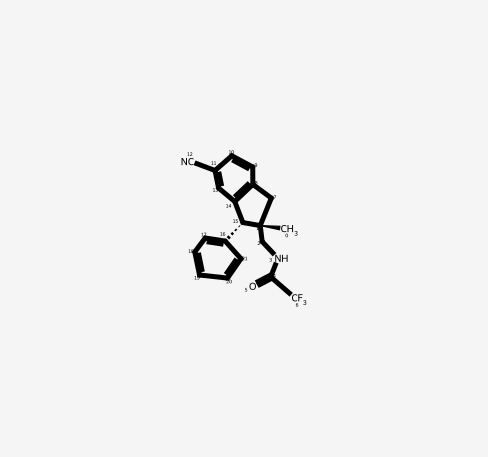 C[C@]1(CNC(=O)C(F)(F)F)Cc2ccc(C#N)cc2[C@H]1c1ccccc1